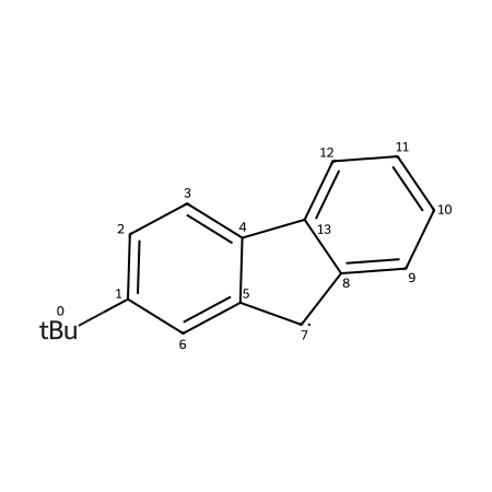 CC(C)(C)c1ccc2c(c1)[CH]c1ccccc1-2